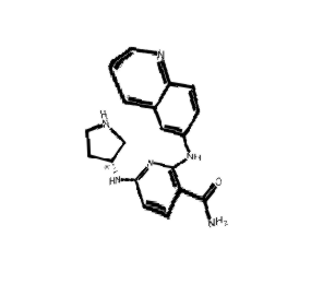 NC(=O)c1ccc(N[C@@H]2CCNC2)nc1Nc1ccc2ncccc2c1